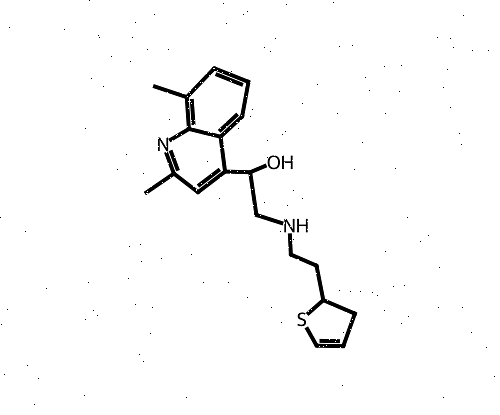 Cc1cc(C(O)CNCCC2CC=CS2)c2cccc(C)c2n1